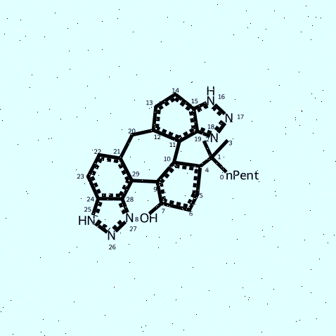 CCCCCC(C)(C)c1ccc(O)c2c1-c1c(ccc3[nH]nnc13)Cc1ccc3[nH]nnc3c1-2